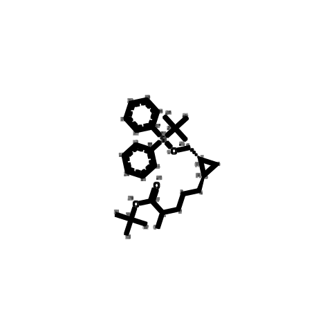 CC(CCC[C@@H]1C[C@H]1CO[Si](c1ccccc1)(c1ccccc1)C(C)(C)C)C(=O)OC(C)(C)C